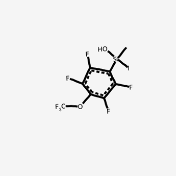 C[Si](O)(I)c1c(F)c(F)c(OC(F)(F)F)c(F)c1F